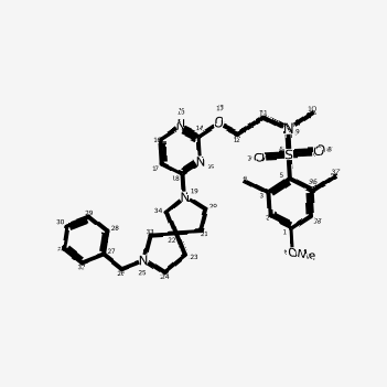 COc1cc(C)c(S(=O)(=O)N(C)CCOc2nccc(N3CCC4(CCN(Cc5ccccc5)C4)C3)n2)c(C)c1